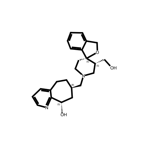 OC[C@@H]1CN(C[C@@H]2CCc3cccnc3[C@@H](O)C2)CC[C@]12OCc1ccccc12